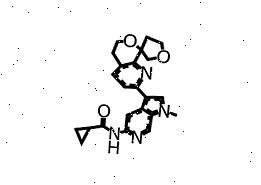 Cn1cc(-c2ccc3c(n2)C2(CCOC2)OCC3)c2cc(NC(=O)C3CC3)ncc21